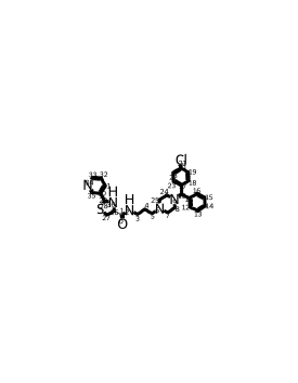 O=C(NCCCN1CCN(C(c2ccccc2)c2ccc(Cl)cc2)CC1)[C@@H]1CSC(c2cccnc2)N1